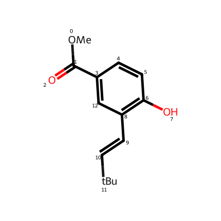 COC(=O)c1ccc(O)c(C=CC(C)(C)C)c1